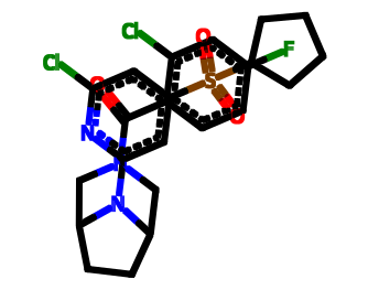 O=C(c1ccc(F)cc1Cl)N1CC2CCC(C1)N2c1cc(S(=O)(=O)C2CCCC2)cc(Cl)n1